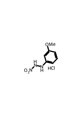 COc1cccc(NN[N+](=O)[O-])c1.Cl